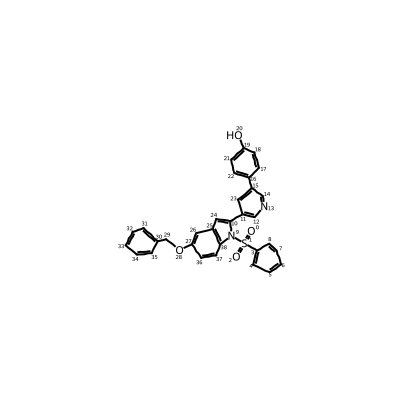 O=S(=O)(c1ccccc1)n1c(-c2cncc(-c3ccc(O)cc3)c2)cc2cc(OCc3ccccc3)ccc21